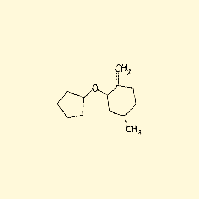 C=C1CC[C@H](C)CC1OC1CCCC1